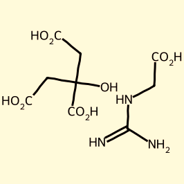 N=C(N)NCC(=O)O.O=C(O)CC(O)(CC(=O)O)C(=O)O